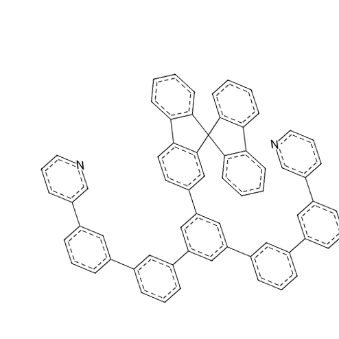 c1cncc(-c2cccc(-c3cccc(-c4cc(-c5cccc(-c6cccc(-c7cccnc7)c6)c5)cc(-c5ccc6c(c5)C5(c7ccccc7-c7ccccc75)c5ccccc5-6)c4)c3)c2)c1